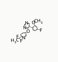 COc1cc(F)ccc1-c1cncnc1Oc1ccc(C(C)(F)F)nc1